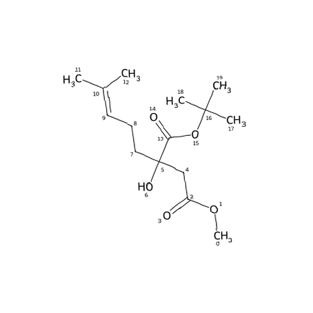 COC(=O)CC(O)(CCC=C(C)C)C(=O)OC(C)(C)C